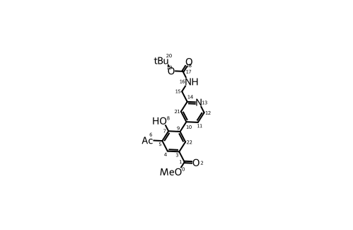 COC(=O)c1cc(C(C)=O)c(O)c(-c2ccnc(CNC(=O)OC(C)(C)C)c2)c1